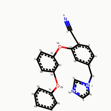 N#Cc1ccc(Cn2ccnc2)cc1Oc1cccc(Oc2ccccc2)c1